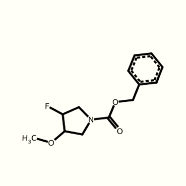 COC1CN(C(=O)OCc2ccccc2)CC1F